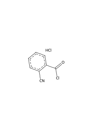 Cl.N#Cc1ccccc1C(=O)Cl